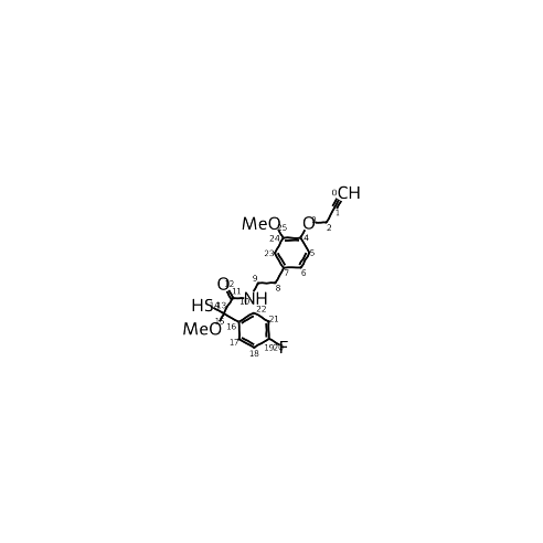 C#CCOc1ccc(CCNC(=O)C(S)(OC)c2ccc(F)cc2)cc1OC